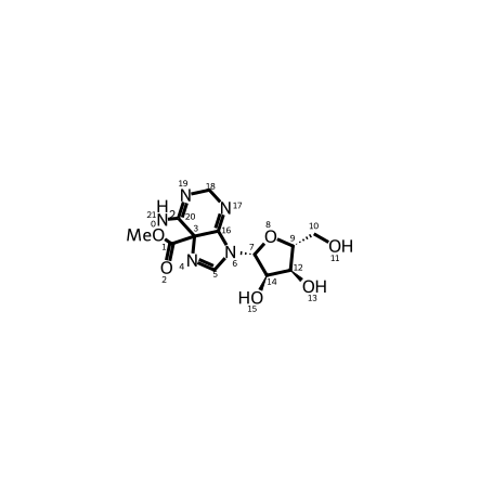 COC(=O)C12N=CN([C@@H]3O[C@H](CO)[C@@H](O)[C@H]3O)C1=NCN=C2N